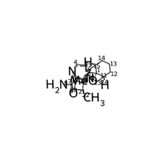 COC1(c2ccnc(C(N)=O)c2)[C@@H]2CCC[C@H]1CN([C@@H]1CC[C@@H]1C)C2